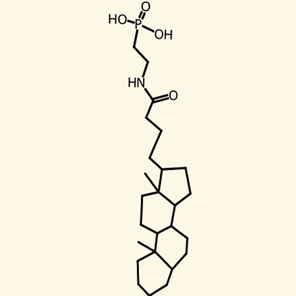 CC12CCCCC1CCC1C2CCC2(C)C(CCCC(=O)NCCP(=O)(O)O)CCC12